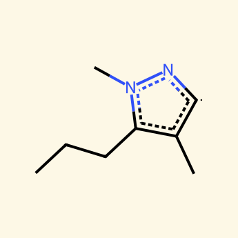 CCCc1c(C)[c]nn1C